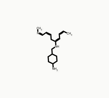 C/C=C\C=C(/C/C=C\C=N/C)NCC1CCC(N)CC1